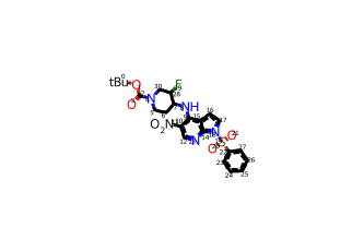 CC(C)(C)OC(=O)N1CCC(Nc2c([N+](=O)[O-])cnc3c2ccn3S(=O)(=O)c2ccccc2)C(F)C1